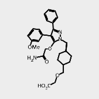 COc1cccc(-c2c(-c3ccccc3)nn(CC3CCC(COCC(=O)O)CC3)c2OCC(N)=O)c1